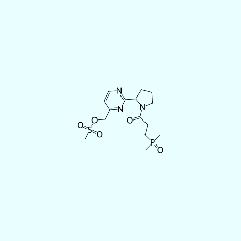 CP(C)(=O)CCC(=O)N1CCCC1c1nccc(COS(C)(=O)=O)n1